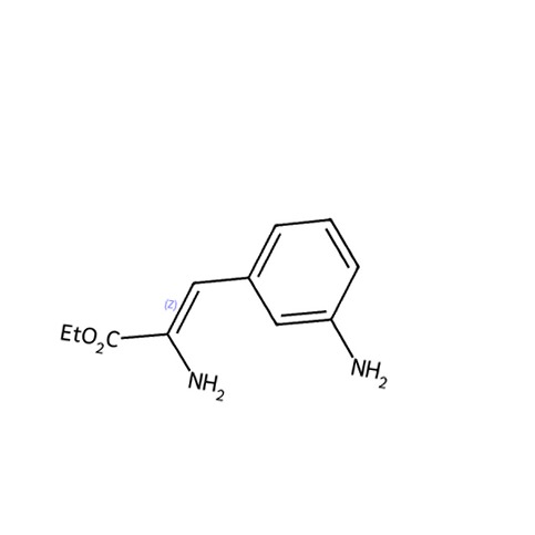 CCOC(=O)/C(N)=C/c1cccc(N)c1